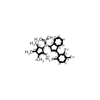 CC1=C(C)[CH]([Zr]([CH]2C=C(c3c(F)ccc(F)c3F)c3ccccc32)=[Si](C)C)C(C)=C1C